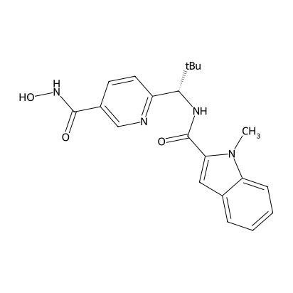 Cn1c(C(=O)N[C@H](c2ccc(C(=O)NO)cn2)C(C)(C)C)cc2ccccc21